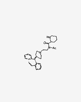 CC(=O)N(CCN1CCC(=C2c3ccccc3C=Cc3ccccc32)CC1)C(=O)C1CCCCN1